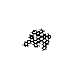 c1ccc(-c2ccc3c(-c4cc5cccnc5c5ncccc45)c4cc5c(-c6ccccc6)c(-c6ccc7ccccc7c6)c6ccccc6c5cc4c(-c4cc5cccnc5c5ncccc45)c3c2)cc1